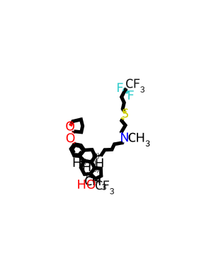 CN(CCCCC[C@@H]1Cc2cc(OC3CCCCO3)ccc2[C@H]2CC[C@@]3(C)[C@@H](CC[C@@]3(O)C(F)(F)F)[C@H]12)CCCSCCCC(F)(F)C(F)(F)F